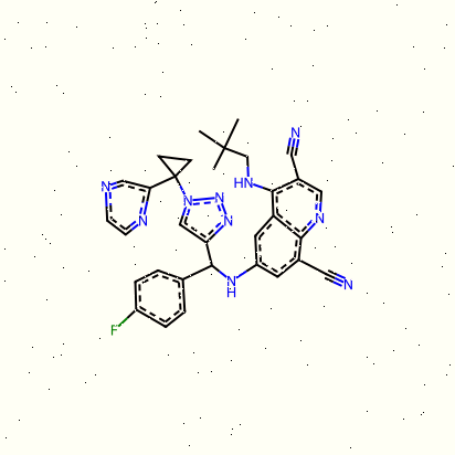 CC(C)(C)CNc1c(C#N)cnc2c(C#N)cc(NC(c3ccc(F)cc3)c3cn(C4(c5cnccn5)CC4)nn3)cc12